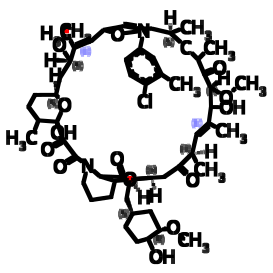 CO[C@H]1C[C@@H]2CCC(C)C(O)(O2)C(=O)C(=O)N2CCCC3C2C(=O)O[C@@H](CC(=O)[C@H](C)/C=C(\C)C(O)[C@@H](OC)C(=O)C(C)C[C@H](C)C2C=CC(/C=C/1C)ON2c1ccc(Cl)c(C)c1)[C@H]3C[C@@H]1CCC(O)[C@H](OC)C1